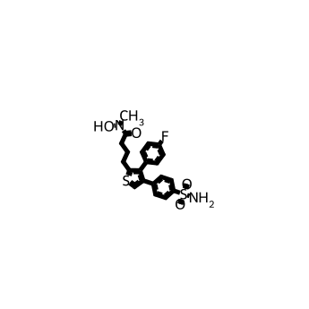 CN(O)C(=O)CCCc1scc(-c2ccc(S(N)(=O)=O)cc2)c1-c1ccc(F)cc1